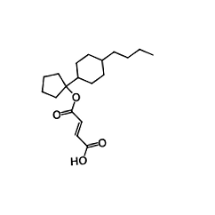 CCCCC1CCC(C2(OC(=O)/C=C/C(=O)O)CCCC2)CC1